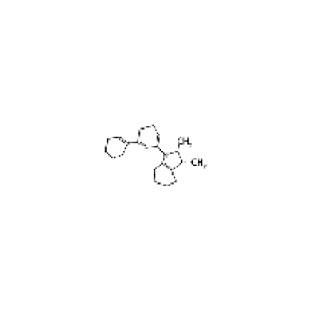 CC1[C@H](C)C2=C(CCCC2)N1C1=CCCC(C2=CCCCC2)=C1